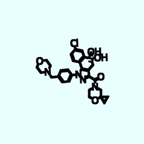 O=C(c1nn(-c2ccc(CN3CCOCC3)cc2)c2c1CS(O)(O)c1cc(Cl)ccc1-2)N1CCOC2(CC2)C1